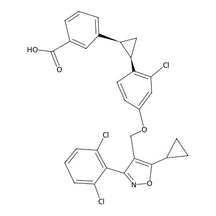 O=C(O)c1cccc([C@H]2C[C@H]2c2ccc(OCc3c(-c4c(Cl)cccc4Cl)noc3C3CC3)cc2Cl)c1